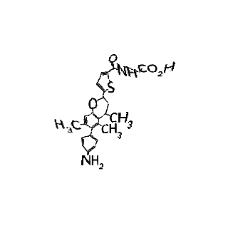 Cc1cc2c(c(C)c1-c1ccc(N)cc1)C(C)CC(c1ccc(C(=O)NCCC(=O)O)s1)O2